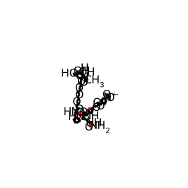 CC(=O)NC1C(OCCOCCOCCOCCC(=O)NC(Cc2ccccc2)C(=O)NC(CCCNC(N)=O)C(=O)Nc2ccc(COC(=O)Oc3ccc([N+](=O)[O-])cc3)cc2)CC(CO)C(O)C1O